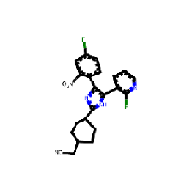 N#CCC1CCC(c2nc(-c3ccc(F)cc3[N+](=O)[O-])c(-c3cccnc3F)[nH]2)CC1